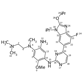 COc1cc(N(C)CCN(C)C)c(N)cc1Nc1nccc(-c2cc(F)c3nc(OC(C)C)n(C(C)C)c3c2)n1